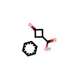 O=C1CC(C(=O)O)C1.c1ccccc1